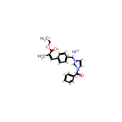 CCOC(=O)C(C)=Cc1ccc(CN2C=CN(C(=O)c3ccccc3)C2)cc1.I